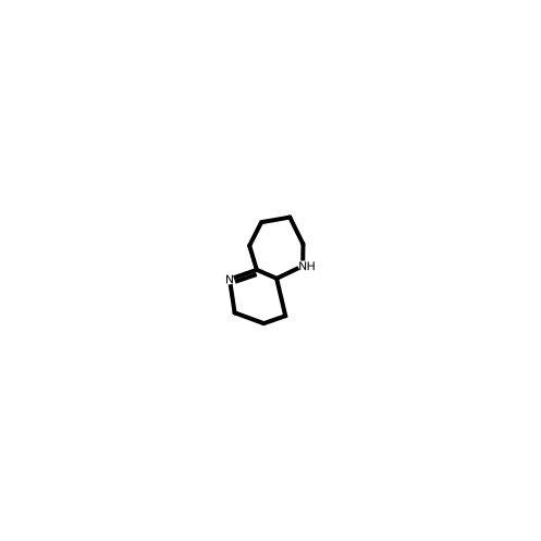 C1CCC2=NCCCC2NC1